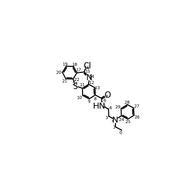 CCN(CCNC(=O)c1ccc2c(c1)N=C(Cl)c1ccccc1S2)c1ccccc1